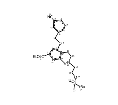 CCOC(=O)c1cc(OCc2cncc(C#N)c2)c2c(n1)CN(CCO[Si](C)(C)C(C)(C)C)CC2